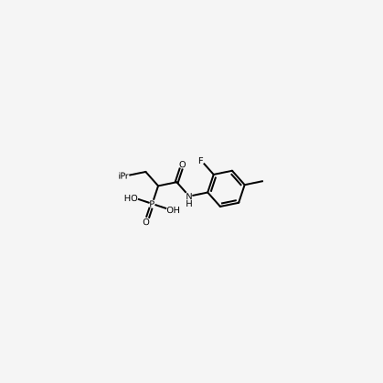 Cc1ccc(NC(=O)C(CC(C)C)P(=O)(O)O)c(F)c1